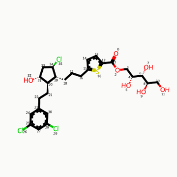 O=C(OC[C@@H](O)[C@H](O)[C@H](O)CO)c1ccc(CCC[C@@H]2[C@@H](CCc3cc(Cl)cc(Cl)c3)[C@H](O)C[C@H]2Cl)s1